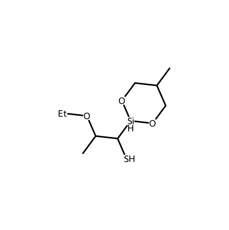 CCOC(C)C(S)[SiH]1OCC(C)CO1